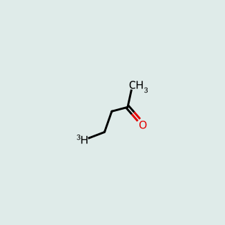 [3H]CCC(C)=O